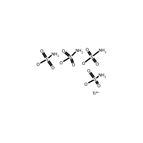 NS(=O)(=O)[O-].NS(=O)(=O)[O-].NS(=O)(=O)[O-].NS(=O)(=O)[O-].[Ti+4]